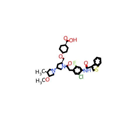 CO[C@H]1CN([C@H]2C[C@@H](CO[C@H]3CC[C@H](C(=O)O)CC3)N(C(=O)Cc3cc(Cl)c(NC(=O)c4csc5ccccc45)cc3F)C2)C[C@@H]1C